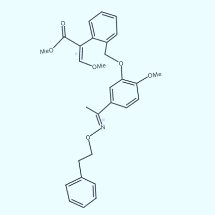 CO/C=C(/C(=O)OC)c1ccccc1COc1cc(/C(C)=N/OCCc2ccccc2)ccc1OC